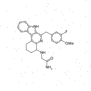 COc1ccc(Cc2nc3c(c4c2[nH]c2ccccc24)CCCC3NCC(N)=O)cc1F